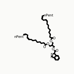 CCCCC/C=C\C/C=C\CCCCCCCC(=O)OCC(COC(=O)CCCCCCC/C=C\C/C=C\CCCCC)COC(=O)C1N=Nc2ccccc21